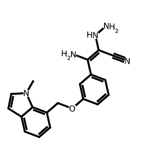 Cn1ccc2cccc(COc3cccc(/C(N)=C(\C#N)NN)c3)c21